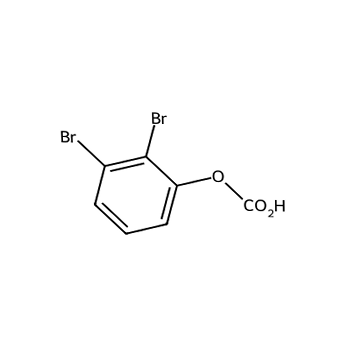 O=C(O)Oc1cccc(Br)c1Br